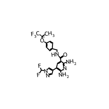 C[C@@H](Oc1ccc(CNC(=O)c2cc(-c3cnn(C(F)F)c3)c(N)nc2N)cc1)C(F)(F)F